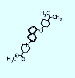 COC(=O)C1CCN(c2ccc3c(OC4CCC(C(C)C)CC4)cccc3c2)CC1